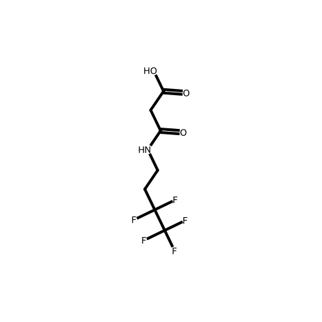 O=C(O)CC(=O)NCCC(F)(F)C(F)(F)F